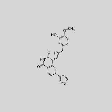 COc1ccc(CNC=C2C(=O)NC(=O)c3ccc(-c4ccsc4)cc32)cc1O